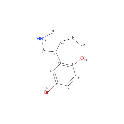 Brc1ccc2c(c1)C1CNCC1CCO2